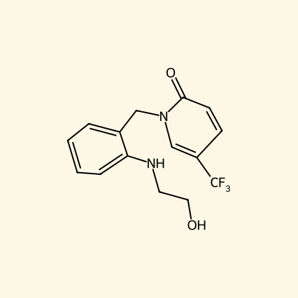 O=c1ccc(C(F)(F)F)cn1Cc1ccccc1NCCO